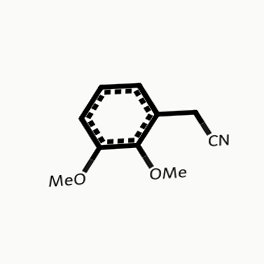 COc1cccc(CC#N)c1OC